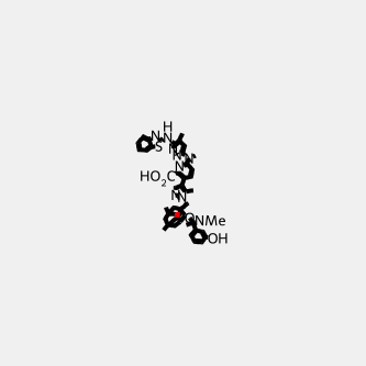 CNC(C)(OC1C2CC3(C)CC(C)(C2)CC1(Cn1ncc(-c2ccc(N(C)c4cc(C)c(Nc5nc6ccccc6s5)nn4)nc2C(=O)O)c1C)C3)c1cccc(O)c1